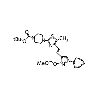 COCOc1nn(-c2ccccc2)cc1C=Cc1nc(N2CCN(C(=O)OC(C)(C)C)CC2)sc1C